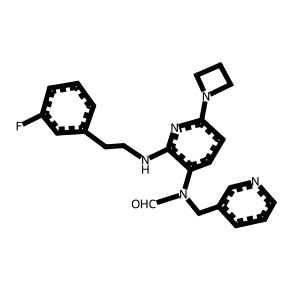 O=CN(Cc1cccnc1)c1ccc(N2CCC2)nc1NCCc1cccc(F)c1